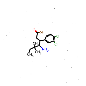 CCC(C)(C)C(N)C(CC(=O)S)c1ccc(Cl)c(Cl)c1